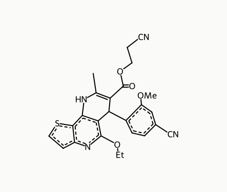 CCOc1nc2ccsc2c2c1C(c1ccc(C#N)cc1OC)C(C(=O)OCCC#N)=C(C)N2